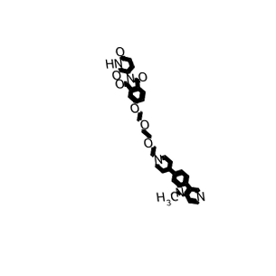 Cn1c2ccncc2c2ccc(C3CCN(CCOCCOCCOc4ccc5c(c4)C(=O)N(C4CCC(=O)NC4=O)C5=O)CC3)cc21